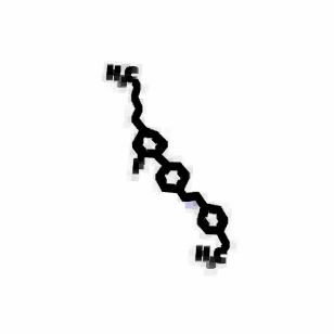 CCCCCc1ccc(-c2ccc(/C=C/c3ccc(CC)cc3)cc2)c(F)c1